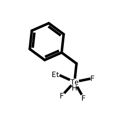 CC[TeH](F)(F)(F)Cc1ccccc1